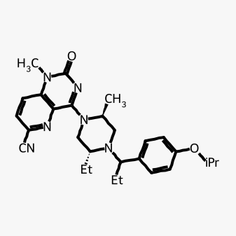 CCC(c1ccc(OC(C)C)cc1)N1C[C@H](C)N(c2nc(=O)n(C)c3ccc(C#N)nc23)C[C@H]1CC